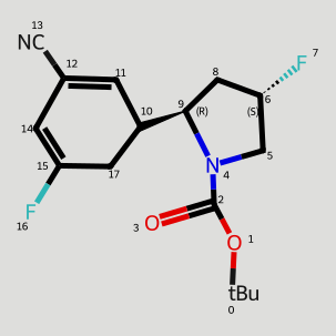 CC(C)(C)OC(=O)N1C[C@@H](F)C[C@@H]1C1C=C(C#N)C=C(F)C1